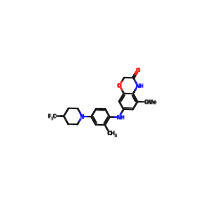 COc1cc(Nc2ccc(N3CCC(C(F)(F)F)CC3)cc2C)cc2c1NC(=O)CO2